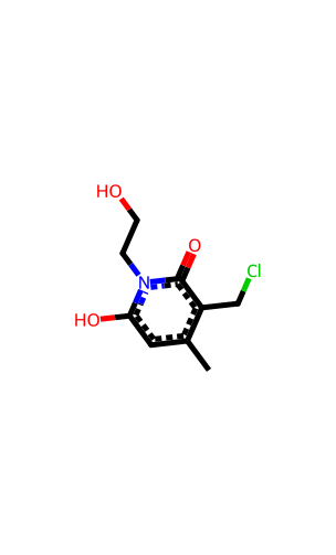 Cc1cc(O)n(CCO)c(=O)c1CCl